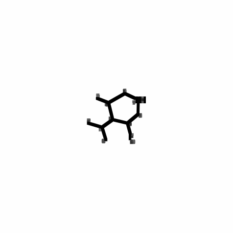 CC(C)C1C(C)CNCC1F